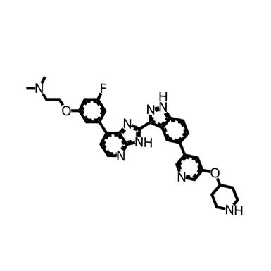 CN(C)CCOc1cc(F)cc(-c2ccnc3[nH]c(-c4n[nH]c5ccc(-c6cncc(OC7CCNCC7)c6)cc45)nc23)c1